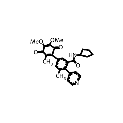 COC1=C(OC)C(=O)C(c2cc(C)c(-c3ccncc3)c(C(=O)NC3CCCC3)c2)=C(C)C1=O